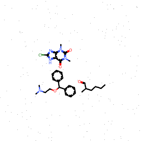 CCCCC(C)C=O.CN(C)CCOC(c1ccccc1)c1ccccc1.Cn1c(=O)c2[nH]c(Cl)nc2n(C)c1=O